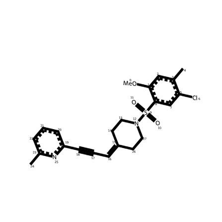 COc1cc(C)c(Cl)cc1S(=O)(=O)N1CCC(=CC#Cc2cccc(C)n2)CC1